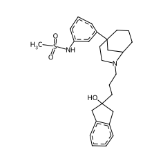 CS(=O)(=O)Nc1cccc(C23CCCC(C2)N(CCCC2(O)Cc4ccccc4C2)CC3)c1